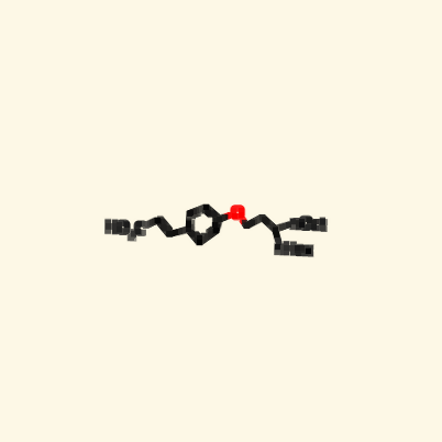 CCCCCCCCC(CCCCCC)CCOc1ccc(C=CC(=O)O)cc1